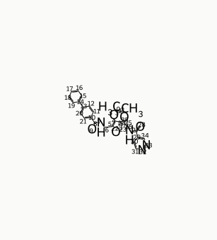 CC1(C)OC2=C(CNC(=O)c3ccc(-c4ccccc4)cc3)OC[C@]2(CNC(=O)c2ccnnc2)O1